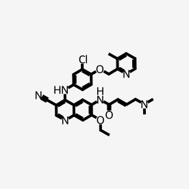 CCOc1cc2ncc(C#N)c(Nc3ccc(OCc4ncccc4C)c(Cl)c3)c2cc1NC(=O)C=CCN(C)C